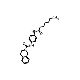 CCCCCCC(=O)Nc1ccc(NC(=O)N2CCc3ccccc3C2)cc1